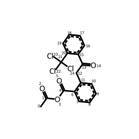 CC(=O)OC(=O)c1ccccc1CC(=O)c1ccccc1C(Cl)(Cl)Cl